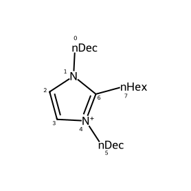 CCCCCCCCCCn1cc[n+](CCCCCCCCCC)c1CCCCCC